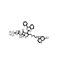 CC(C)(C)OC(=O)N[C@@H]1C(=O)N2C(C(=O)OC(c3ccccc3)c3ccccc3)=C(CSCCNc3ccnc4cc(Cl)ccc34)CS[C@H]12